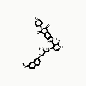 COc1ccc2ccc(OCC(O)CNc3cc[nH]c(=O)c3-c3nc4cc5c(cc4[nH]3)C(=O)N(C3CCN(C)CC3)C5=O)cc2c1